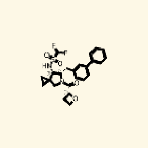 O=C([C@H]1CCO1)N1CC2(CC2)[C@H](NS(=O)(=O)C(F)F)[C@@H]1Cc1cccc(-c2ccccc2)c1